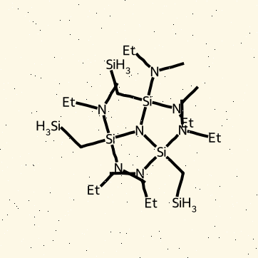 CCN(C)[Si](C[SiH3])(N(C)CC)N([Si](C[SiH3])(N(C)CC)N(C)CC)[Si](C[SiH3])(N(C)CC)N(C)CC